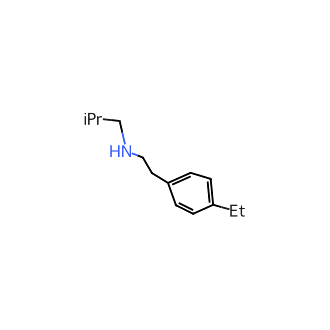 CCc1ccc(CCNCC(C)C)cc1